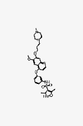 COc1cc2c(Oc3cccc(NS(=O)(=O)C4=C(C)ONC4C)c3)ccnc2cc1OCCCN1CCN(C)CC1